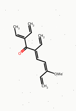 C=C/C(=C\C=C(/C=C)C(=O)/C(C=C)=C/C)OC